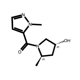 C[C@@H]1C[C@@H](O)CN1C(=O)c1ccnn1C